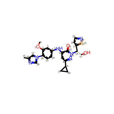 COc1cc(Nc2cc(C3CC3)nn([C@@H](CO)c3ccns3)c2=O)ccc1-n1cnc(C)c1